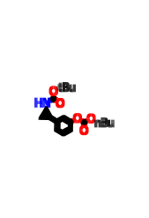 CCCCOC(=O)Oc1cccc(C2C[C@H]2NC(=O)OC(C)(C)C)c1